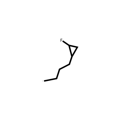 [CH2]CCCC1CC1F